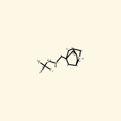 FC(F)(F)SNCC12CC3CCC(C1)C(C3)C2